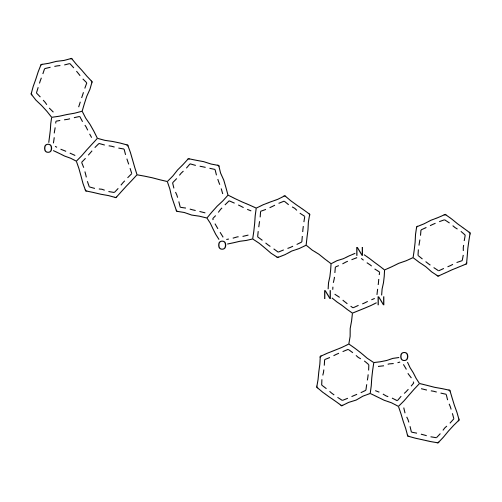 c1ccc(-c2nc(-c3ccc4c(c3)oc3cc(-c5ccc6oc7ccccc7c6c5)ccc34)nc(-c3cccc4c3oc3ccccc34)n2)cc1